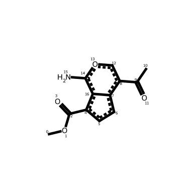 COC(=O)c1ccc2c(C(C)=O)coc(N)c1-2